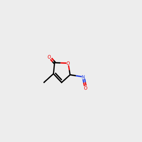 CC1=CC(N=O)OC1=O